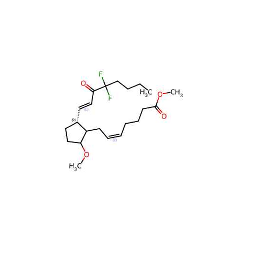 CCCCC(F)(F)C(=O)/C=C/[C@H]1CCC(OC)C1C/C=C\CCCC(=O)OC